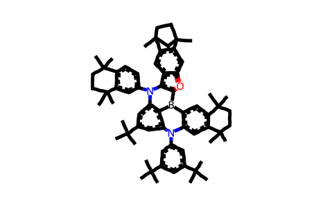 CC(C)(C)c1cc(N2c3cc4c(cc3B3c5oc6cc7c(cc6c5N(c5ccc6c(c5)C(C)(C)CCC6(C)C)c5cc(C(C)(C)C)cc2c53)C2(C)CCC7(C)C2)C(C)(C)CCC4(C)C)cc(C(C)(C)C)c1